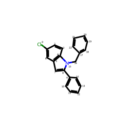 Clc1ccc2c(c1)cc(-c1ccccc1)n2Cc1ccccc1